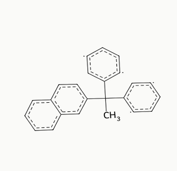 CC(c1[c]cc[c]c1)(c1[c]cc[c]c1)c1ccc2ccccc2c1